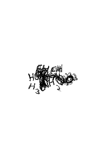 COC(=O)[C@H](CO)NC(=O)[C@H](CCCCNC(=O)OCc1ccccc1)NC(=O)[C@H](C)N.Cl